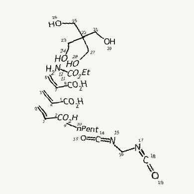 C=CC(=O)O.C=CC(=O)O.C=CC(=O)O.CCCCCC.CCOC(N)=O.O=C=NCN=C=O.OCC(CO)(CO)CO